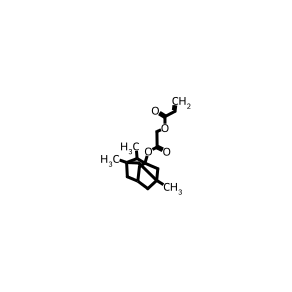 C=CC(=O)OCC(=O)OC12CC3CC(C)(CC(C)(C3)C1C)C2